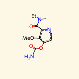 CCN(C)C(=O)c1nccc(OC(N)=O)c1OC